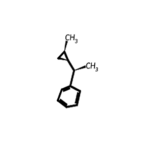 C[C@@H]1C[C@@H]1[C@@H](C)c1ccccc1